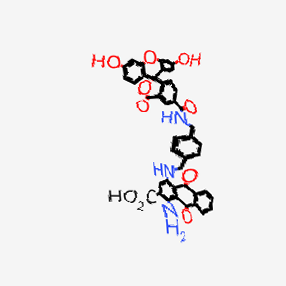 Nc1c(C(=O)O)cc(NCc2ccc(CNC(=O)c3ccc4c(c3)C(=O)OC43c4ccc(O)cc4Oc4cc(O)ccc43)cc2)c2c1C(=O)c1ccccc1C2=O